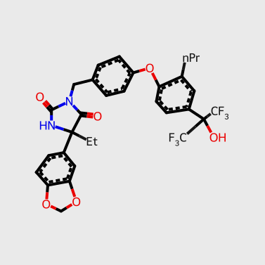 CCCc1cc(C(O)(C(F)(F)F)C(F)(F)F)ccc1Oc1ccc(CN2C(=O)NC(CC)(c3ccc4c(c3)OCO4)C2=O)cc1